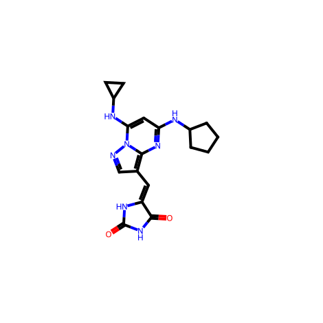 O=C1NC(=O)C(=Cc2cnn3c(NC4CC4)cc(NC4CCCC4)nc23)N1